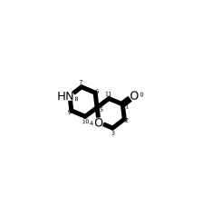 O=C1CCOC2(CCNCC2)C1